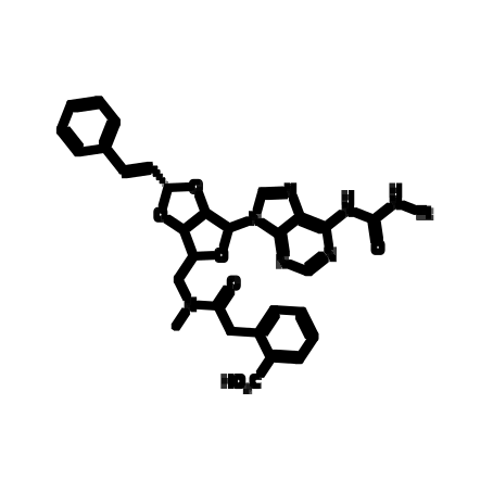 CCNC(=O)Nc1ncnc2c1ncn2C1OC(CN(C)C(=O)Cc2ccccc2C(=O)O)C2O[C@H](/C=C/c3ccccc3)OC21